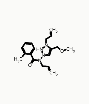 C=CCN1NN(N(CC=C)C(=O)c2ccccc2C)C=C1COC